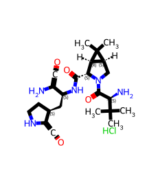 CC(C)(C)[C@H](N)C(=O)N1C[C@H]2[C@@H]([C@H]1C(=O)N[C@@H](C[C@@H]1CCNC1=C=O)C(N)=C=O)C2(C)C.Cl